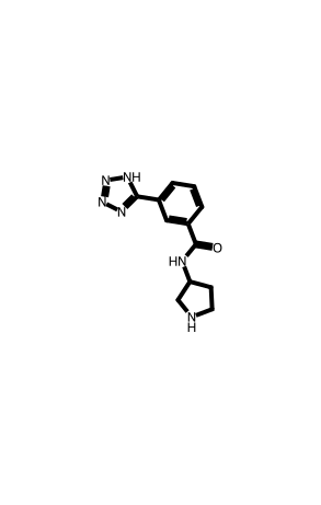 O=C(NC1CCNC1)c1cccc(-c2nnn[nH]2)c1